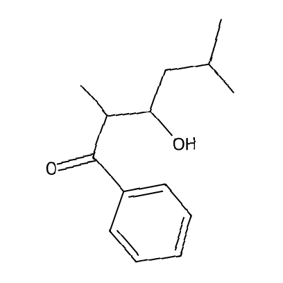 CC(C)CC(O)C(C)C(=O)c1ccccc1